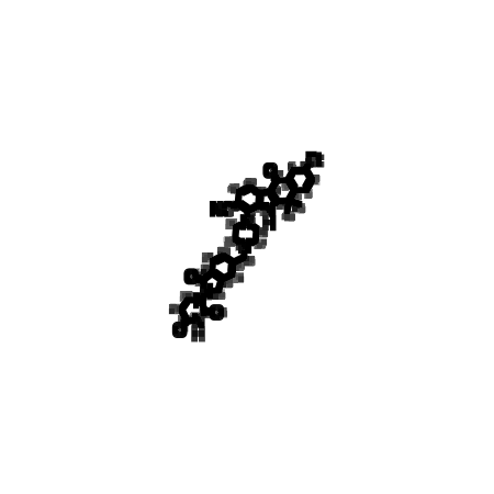 CCc1ccc2c(c1)C(=O)c1c([nH]c3c(N4CCN(Cc5ccc6c(c5)CN(N5CCC(=O)NC5=O)C6=O)CC4)c(C#N)ccc13)C2(C)C